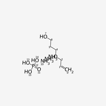 C=CCOCCCO.N.N.N.O=P(O)(O)O